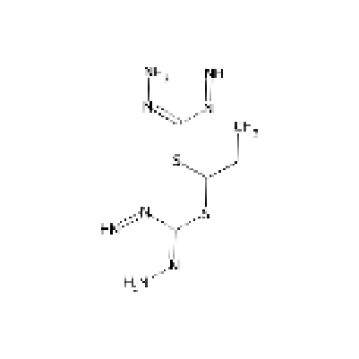 CCC(SC(N=N)=NN)SC(N=N)=NN